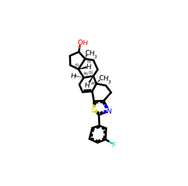 C[C@]12CCc3nc(-c4cccc(F)c4)sc3C1=CC[C@@H]1[C@@H]2CC[C@]2(C)C(O)CC[C@@H]12